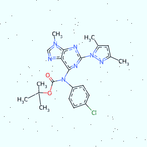 Cc1cc(C)n(-c2nc(N(C(=O)OC(C)(C)C)c3ccc(Cl)cc3)c3ncn(C)c3n2)n1